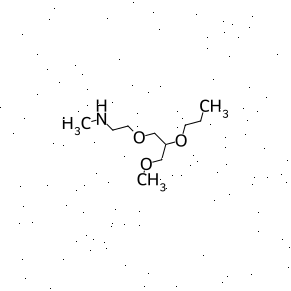 CCCOC(COC)COCCNC